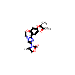 COC(=O)[C@H](C)Oc1ccc2c(c1)OCCn1cc(N3C(=O)OCC3C(C)C)nc1-2